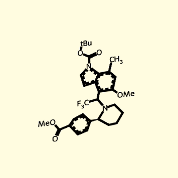 COC(=O)c1ccc([C@@H]2CCCCN2C(c2c(OC)cc(C)c3c2ccn3C(=O)OC(C)(C)C)C(F)(F)F)cc1